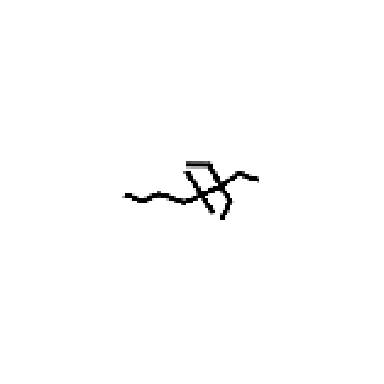 [CH2]CC(CC)(CC)C(C)(C)CCCC